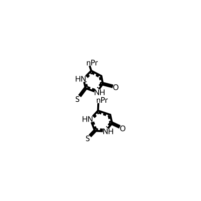 CCCc1cc(=O)[nH]c(=S)[nH]1.CCCc1cc(=O)[nH]c(=S)[nH]1